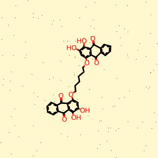 O=C1c2ccccc2C(=O)c2c(O)c(O)cc(OCCCCCCOc3cc(O)c(O)c4c3C(=O)c3ccccc3C4=O)c21